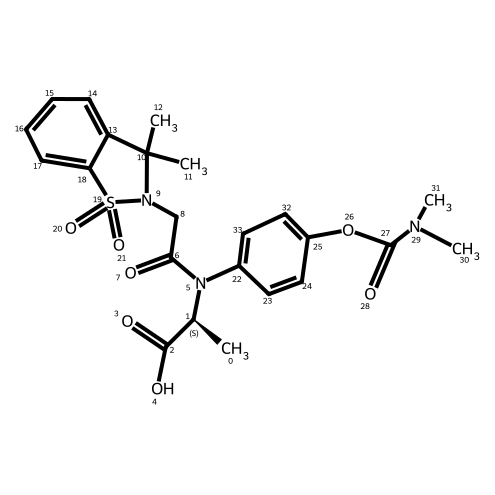 C[C@@H](C(=O)O)N(C(=O)CN1C(C)(C)c2ccccc2S1(=O)=O)c1ccc(OC(=O)N(C)C)cc1